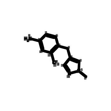 Cn1cc(Cc2ccc(N)cc2C(F)(F)F)cn1